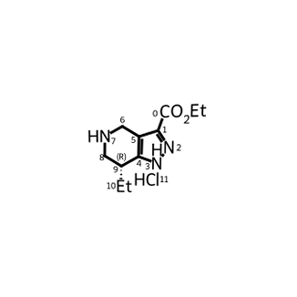 CCOC(=O)c1n[nH]c2c1CNC[C@H]2CC.Cl